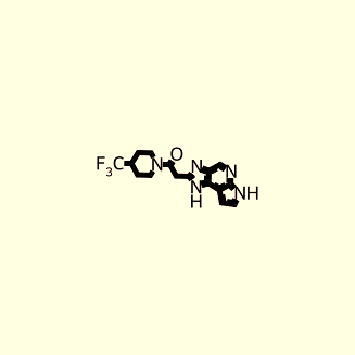 O=C(Cc1nc2cnc3[nH]ccc3c2[nH]1)N1CCC(C(F)(F)F)CC1